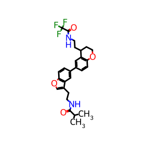 CC(C)C(=O)NCCc1coc2ccc(-c3ccc4c(c3)C(CCNC(=O)C(F)(F)F)CCO4)cc12